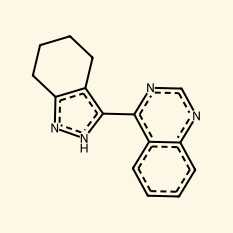 c1ccc2c(-c3[nH]nc4c3CCCC4)ncnc2c1